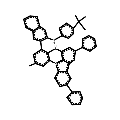 Cc1cc(-c2cc3ccccc3cc2Nc2ccc(C(C)(C)C)cc2)c2c(c1)-n1c3ccc(-c4ccccc4)cc3c3cc(-c4ccccc4)cc(c31)B2